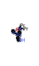 CC(C)CCN(CCC(C)C)C(=O)c1ccc2nc(-c3ccc4cc[nH]c4c3)n(CCCN3CCCCC3)c2c1